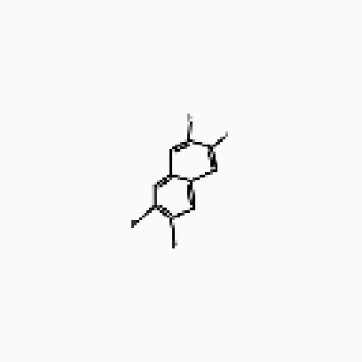 Fc1cc2cc(F)c(F)cc2cc1F